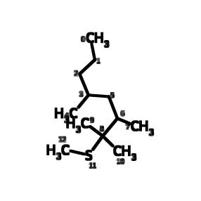 CCCC(C)CC(C)C(C)(C)SC